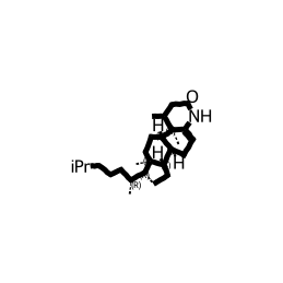 CC(C)CCC[C@@H](C)[C@H]1CC[C@H]2[C@@H]3CC=C4NC(=O)CC(C)[C@]4(C)[C@H]3CC[C@]12C